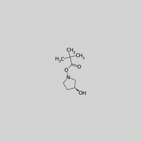 CC(C)(C)C(=O)ON1CC[C@H](O)C1